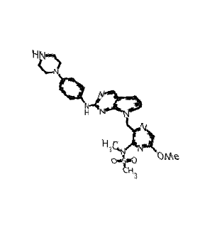 COc1cnc(Cn2ccc3cnc(Nc4ccc(N5CCNCC5)cc4)nc32)c(N(C)S(C)(=O)=O)n1